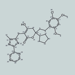 COc1cc(OC)c(CCC2(C3CCCC3)CC(O)=C(Cc3nc(-c4cnccn4)nn3C)C(=O)O2)cc1Cl